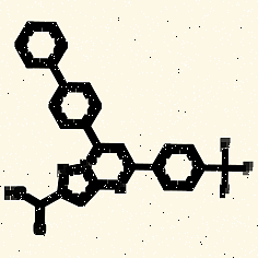 O=C(O)c1cc2nc(-c3ccc(C(F)(F)F)cc3)cc(-c3ccc(-c4ccccc4)cc3)n2n1